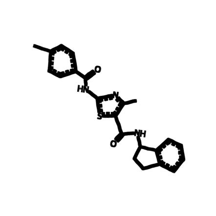 Cc1ccc(C(=O)Nc2nc(C)c(C(=O)NC3CCc4ccccc43)s2)cc1